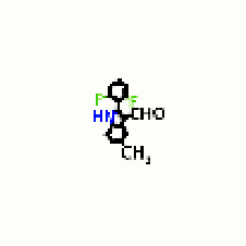 Cc1ccc2[nH]c(-c3c(F)cccc3F)c(C=O)c2c1